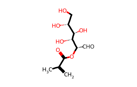 C=C(C)C(=O)O[C@@H](C=O)[C@H](O)[C@@H](O)[C@H](O)CO